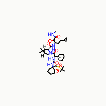 CNC(=O)C(=O)C(CCC1CC1)NC(=O)[C@@H]1[C@@H]2[C@H](CN1C(=O)[C@@H](NC(=O)NC1(CS(=O)(=O)C(C)(C)C)CCCCC1)C1CCCCC1)C2(C)C